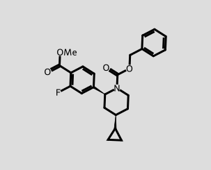 COC(=O)c1ccc([C@@H]2C[C@H](C3CC3)CCN2C(=O)OCc2ccccc2)cc1F